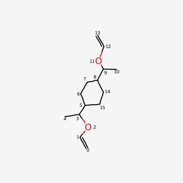 C=COC(C)C1CCC(C(C)OC=C)CC1